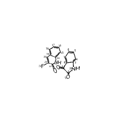 O=C1Nc2ccccc2C1=O.O=c1[nH]c2ccccc2cc1F